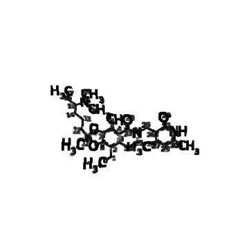 CCc1c2c(c(C)c3c1OC(C)(CCCC(CC)N(C)C)O3)C(=O)N(Cc1c(C)cc(C)[nH]c1=O)CC2